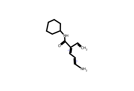 C=C/C(=C\C=C\N)C(=O)NC1CCCCC1